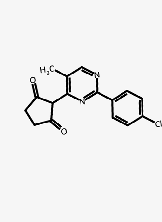 Cc1cnc(-c2ccc(Cl)cc2)nc1C1C(=O)CCC1=O